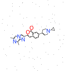 Cc1cn2cc(-c3cc4ccc(C5=CCN(C6CC6)CC5)cc4c(=O)o3)nc2c(C)n1